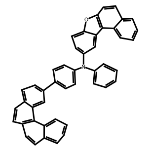 c1ccc(N(c2ccc(-c3ccc4ccc5ccc6ccccc6c5c4c3)cc2)c2ccc3oc4ccc5ccccc5c4c3c2)cc1